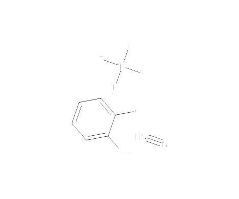 F[B-](F)(F)F.N#[NH+].Oc1ccccc1Cl